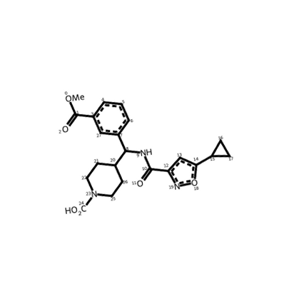 COC(=O)c1cccc(C(NC(=O)c2cc(C3CC3)on2)C2CCN(C(=O)O)CC2)c1